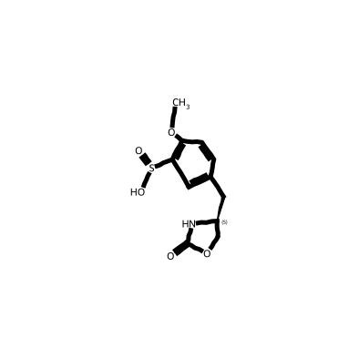 COc1ccc(C[C@H]2COC(=O)N2)cc1S(=O)O